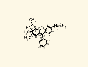 CCNc1ccc2c(c1)OC1=CC(C)(NCC)C(C)=CC1=C2c1ccccc1